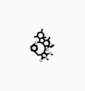 C=CC1(C)C=C(C)C2C3C(Oc4ccc(cc4)CC4C(=O)N(C)C(OC)=C4C(=O)C31)C1C(C)CC(C)CC21C